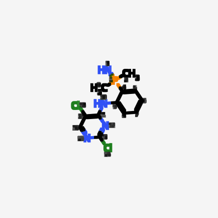 CP(C)(=N)c1ccccc1Nc1nc(Cl)ncc1Cl